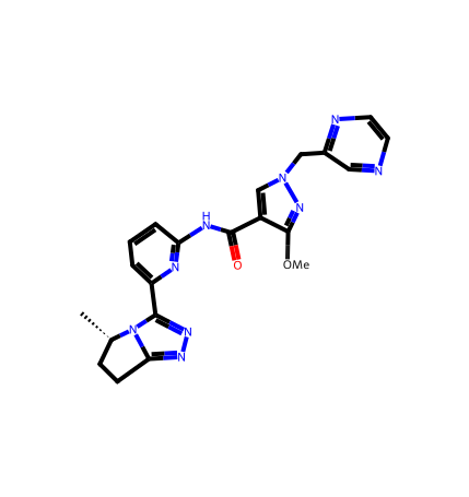 COc1nn(Cc2cnccn2)cc1C(=O)Nc1cccc(-c2nnc3n2[C@@H](C)CC3)n1